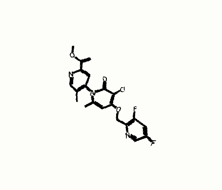 C=C(OC)c1cc(-n2c(C)cc(OCc3ncc(F)cc3F)c(Cl)c2=O)c(C)cn1